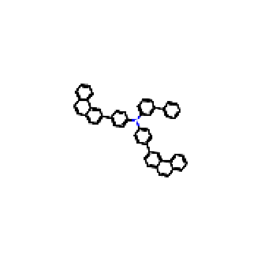 c1ccc(-c2cccc(N(c3ccc(-c4ccc5ccc6ccccc6c5c4)cc3)c3ccc(-c4ccc5ccc6ccccc6c5c4)cc3)c2)cc1